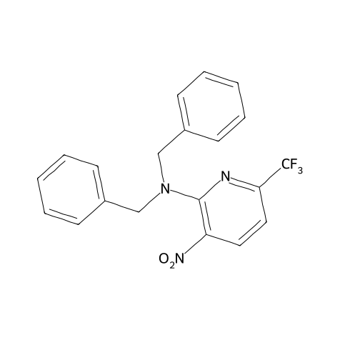 O=[N+]([O-])c1ccc(C(F)(F)F)nc1N(Cc1ccccc1)Cc1ccccc1